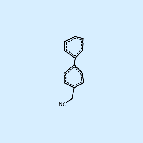 N#CCc1ccc(-c2ccccc2)cc1